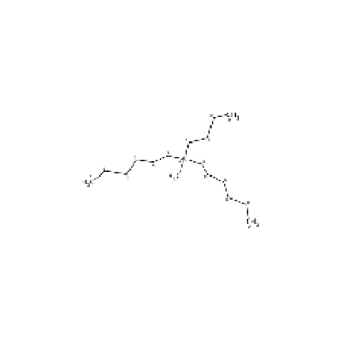 CCCCCCS(C)(CCCC)CCCCCC